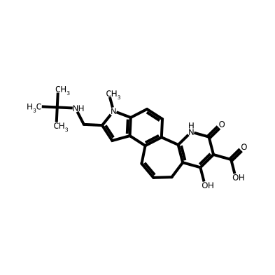 Cn1c(CNC(C)(C)C)cc2c3c(ccc21)-c1[nH]c(=O)c(C(=O)O)c(O)c1CC=C3